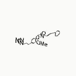 COc1cc(CCCn2cncn2)ccc1OCc1coc(/C=C/c2ccccc2)n1